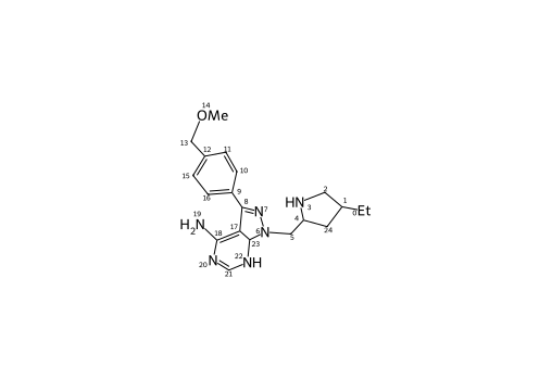 CCC1CNC(CN2N=C(c3ccc(COC)cc3)C3=C(N)N=CNC32)C1